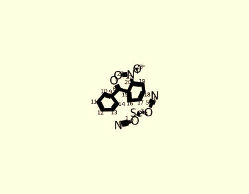 N#CO[Se]OC#N.O=C(c1ccccc1)c1ccccc1[N+](=O)[O-]